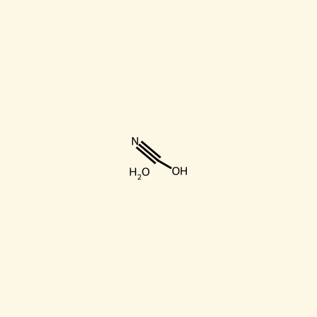 N#CO.O